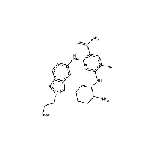 COCCn1cc2cc(Nc3nc(NC4CCCCC4N)c(F)cc3C(N)=O)ccc2n1